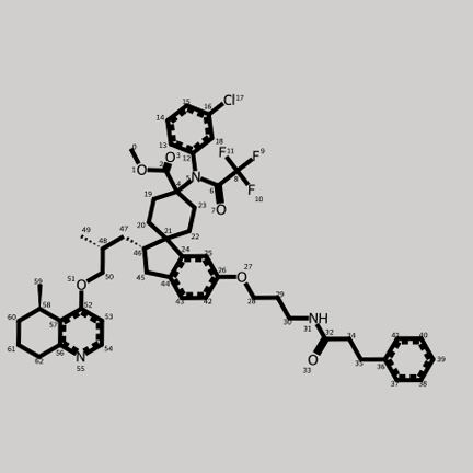 COC(=O)C1(N(C(=O)C(F)(F)F)c2cccc(Cl)c2)CCC2(CC1)c1cc(OCCCNC(=O)CCc3ccccc3)ccc1C[C@@H]2C[C@@H](C)COc1ccnc2c1[C@H](C)CCC2